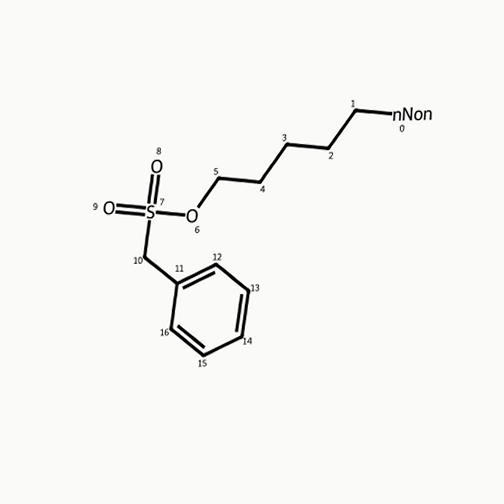 CCCCCCCCCCCCCCOS(=O)(=O)Cc1ccccc1